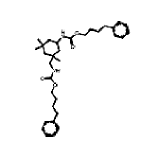 CC1(C)CC(NC(=O)OCCCCc2ccccc2)CC(C)(CNC(=O)OCCCCc2ccccc2)C1